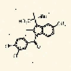 CCC(C)[C@@](C)(C(=O)O)c1c(C)n(C(=O)c2ccc(Cl)c(Cl)c2)c2ccc(O)cc12